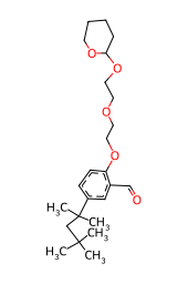 CC(C)(C)CC(C)(C)c1ccc(OCCOCCOC2CCCCO2)c(C=O)c1